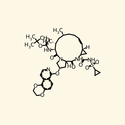 C[C@H]1CC/C=C\[C@@H]2C[C@@]2(C(=O)NS(=O)(=O)C2CC2)NC(=O)[C@@H]2C[C@@H](Oc3nccc4c5c(ccc34)OCCO5)CN2C(=O)[C@@H](NC(=O)OC(C)(C)C)[C@H](C)C1